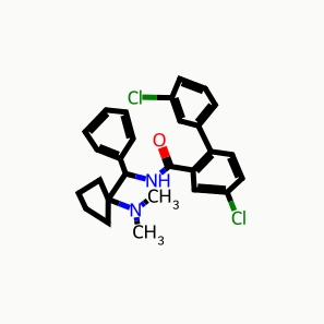 CN(C)C1(C(NC(=O)c2cc(Cl)ccc2-c2cccc(Cl)c2)c2ccccc2)CCCC1